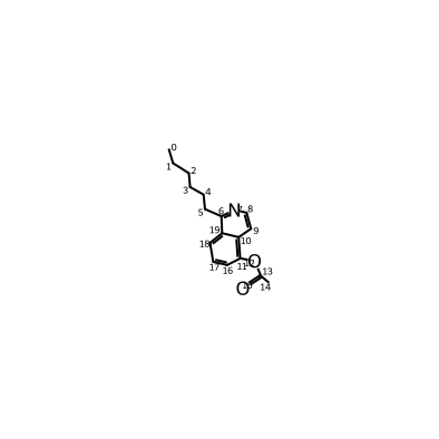 CCCCCCc1nccc2c(OC(C)=O)cccc12